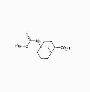 CC(C)(C)OC(=O)NC12CCCC(C1)C(C(=O)O)CC2